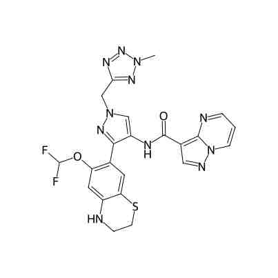 Cn1nnc(Cn2cc(NC(=O)c3cnn4cccnc34)c(-c3cc4c(cc3OC(F)F)NCCS4)n2)n1